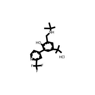 CC(C)(C)NCc1cc(C(C)(C)C)cc(-c2ccnc(C(F)(F)F)c2)c1O.Cl